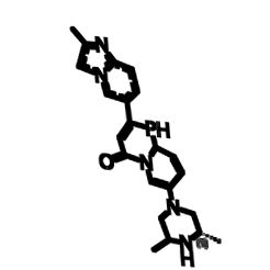 Cc1cn2cc(C3=CC(=O)N4C=C(N5CC(C)N[C@@H](C)C5)C=CC4P3)ccc2n1